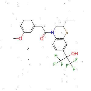 CC[C@H]1CN(C(=O)Cc2cccc(OC)c2)c2ccc(C(O)(C(F)(F)F)C(F)(F)F)cc2S1